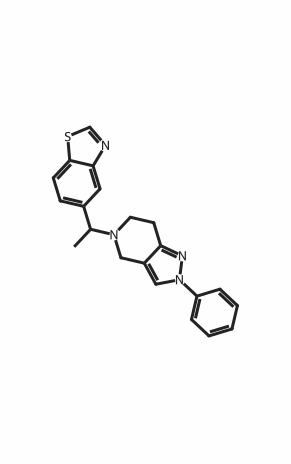 CC(c1ccc2scnc2c1)N1CCc2nn(-c3ccccc3)cc2C1